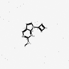 COc1ncc2ccn(C3=CC=C3)c2n1